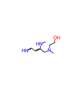 CN/C(=C\C=N)CN(C)CCO